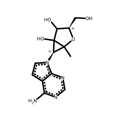 CC12O[C@H](CO)C(O)C1(O)[C@@H]2n1ccc2c(N)ncnc21